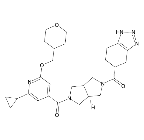 O=C(c1cc(OCC2CCOCC2)nc(C2CC2)c1)N1CC2CN(C(=O)[C@@H]3CCc4[nH]nnc4C3)C[C@H]2C1